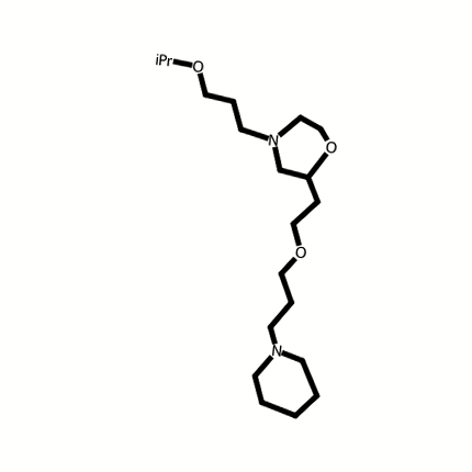 CC(C)OCCCN1CCOC(CCOCCCN2CCCCC2)C1